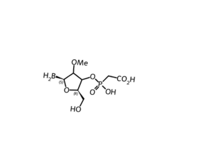 B[C@@H]1O[C@H](CO)C(OP(=O)(O)CC(=O)O)C1OC